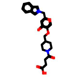 O=C(O)CCC(=O)N1CCC(COc2coc(Cn3cc4ccccc4c3)cc2=O)CC1